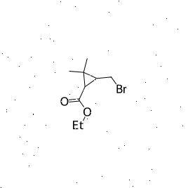 CCOC(=O)C1C(CBr)C1(C)C